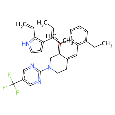 C=Cc1[nH]ccc1C(=C\C)/C(C)=C1\CN(c2ncc(C(F)(F)F)cn2)CC\C1=C\c1c(CC)cccc1CC